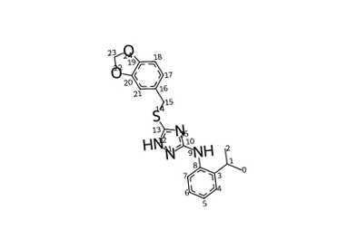 CC(C)c1ccccc1Nc1n[nH]c(SCc2ccc3c(c2)OCO3)n1